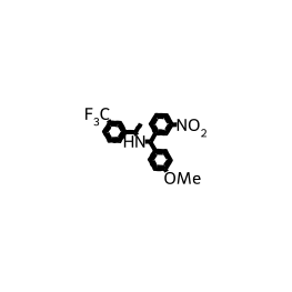 COc1ccc(C(NC(C)c2cccc(C(F)(F)F)c2)c2cccc([N+](=O)[O-])c2)cc1